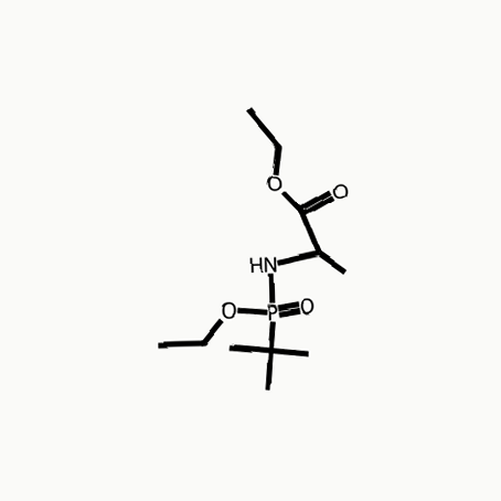 CCOC(=O)C(C)NP(=O)(OCC)C(C)(C)C